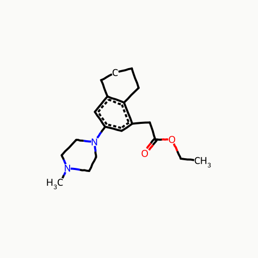 CCOC(=O)Cc1cc(N2CCN(C)CC2)cc2c1CCCC2